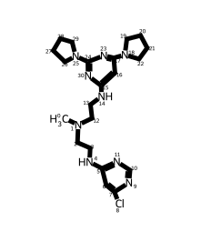 CN(CCNc1cc(Cl)ncn1)CCNc1cc(N2CCCC2)nc(N2CCCC2)n1